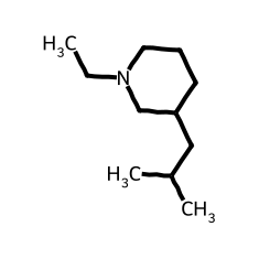 CCN1CCCC(CC(C)C)C1